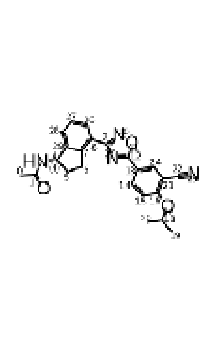 CC(=O)N[C@@H]1CCc2c(-c3noc(-c4ccc(OC(C)C)c(C#N)c4)n3)cccc21